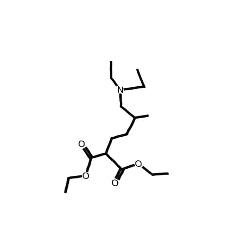 CCOC(=O)C(CCC(C)CN(CC)CC)C(=O)OCC